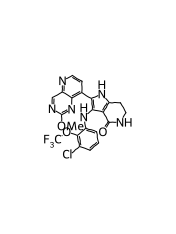 COc1ncc2nccc(-c3[nH]c4c(c3Nc3cccc(Cl)c3OC(F)(F)F)C(=O)NCC4)c2n1